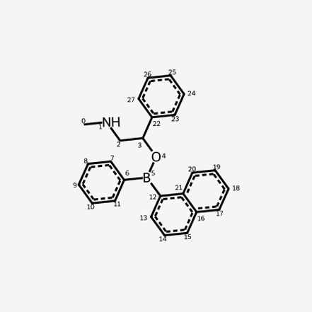 CNCC(OB(c1ccccc1)c1cccc2ccccc12)c1ccccc1